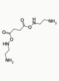 NCCNOC(=O)CCC(=O)ONCCN